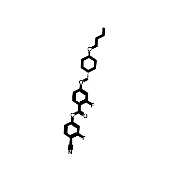 CCCCO[C@H]1CC[C@H](COc2ccc(C(=O)Oc3ccc(C#N)c(F)c3)c(F)c2)CC1